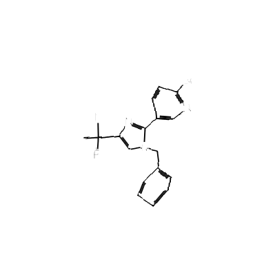 FC(F)(F)c1cn(Cc2ccccc2)c(-c2ccc(Br)nc2)n1